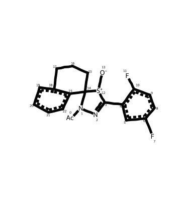 CC(=O)N1N=C(c2cc(F)ccc2F)[S+]([O-])C12CCCc1ccccc12